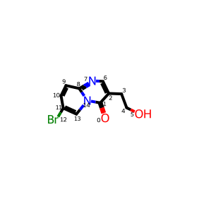 O=c1c(CCO)cnc2ccc(Br)cn12